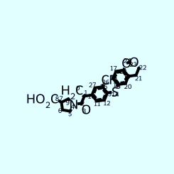 C=C(C(=O)N1CCC(C(=O)O)C1)c1ccc(Sc2ccc3c(c2)CCOO3)c(C(F)(F)F)c1